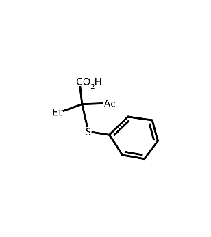 CCC(Sc1ccccc1)(C(C)=O)C(=O)O